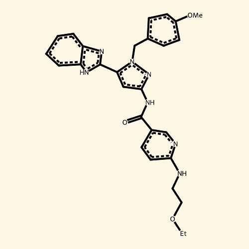 CCOCCNc1ccc(C(=O)Nc2cc(-c3nc4ccccc4[nH]3)n(Cc3ccc(OC)cc3)n2)cn1